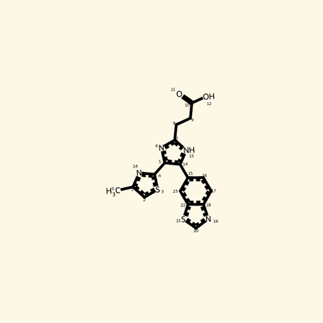 Cc1csc(-c2nc(CCC(=O)O)[nH]c2-c2ccc3ncsc3c2)n1